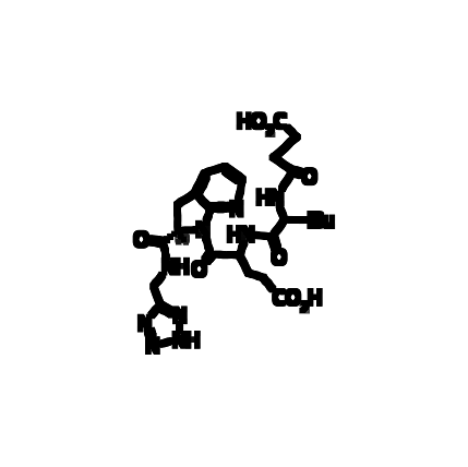 CCC(C)C(NC(=O)CCC(=O)O)C(=O)NC(CCC(=O)O)C(=O)N1c2ncccc2C[C@H]1C(=O)NCc1nn[nH]n1